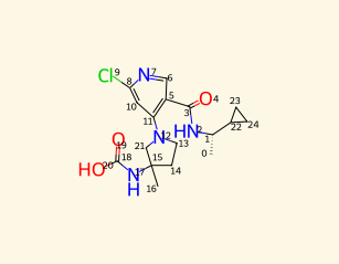 C[C@H](NC(=O)c1cnc(Cl)cc1N1CCC(C)(NC(=O)O)C1)C1CC1